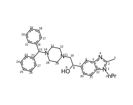 CCCn1c(C)nc2cc(C(O)CN3CCN(C(c4ccccc4)c4ccccc4)CC3)ccc21